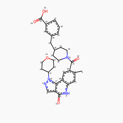 Cc1cc2[nH]c(=O)c3cnn(C4CCOCC4)c3c2cc1C(=O)N1CCC(Cc2cccc(C(=O)O)c2)CC1